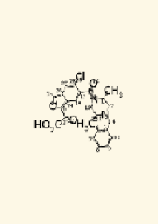 C[C@@H]1CN(Cc2ccccc2)[C@@H](C)CN1C(=O)c1cc2c(C(=O)C(=O)O)occ2cc1Cl